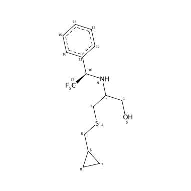 OCC(CSCC1CC1)N[C@H](c1ccccc1)C(F)(F)F